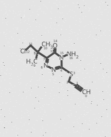 C#CCSc1nnc(C(C)(C)CCl)c(=O)n1N